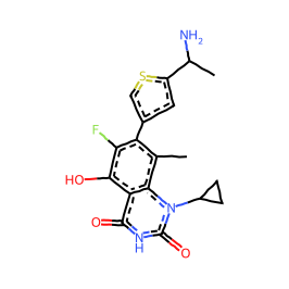 Cc1c(-c2csc(C(C)N)c2)c(F)c(O)c2c(=O)[nH]c(=O)n(C3CC3)c12